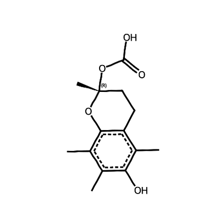 Cc1c(C)c2c(c(C)c1O)CC[C@@](C)(OC(=O)O)O2